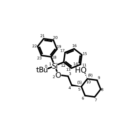 CC(C)(C)[Si](OCC[C@@H]1CCCC[C@H]1O)(c1ccccc1)c1ccccc1